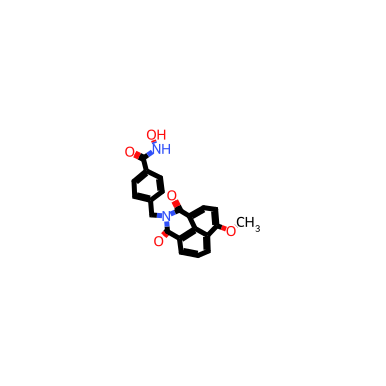 COc1ccc2c3c(cccc13)C(=O)N(Cc1ccc(C(=O)NO)cc1)C2=O